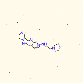 CN1CCN(CCCNN2C=Cc3cc4nn5c(c4nc3=C2)=CN=CC5)CC1